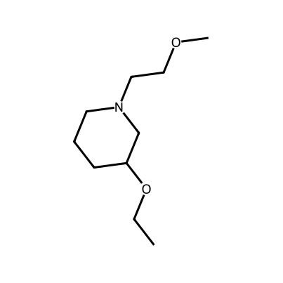 CCOC1CCCN(CCOC)C1